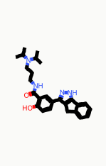 CC(C)N(CCCNC(=O)c1cc(-c2n[nH]c3c2Cc2ccccc2-3)ccc1O)C(C)C